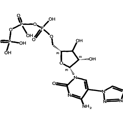 Nc1nc(=O)n([C@@H]2O[C@H](COP(=O)(O)OP(=O)(O)OP(=O)(O)O)C(O)[C@@H]2O)cc1-n1ccnn1